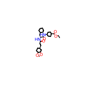 CCOC(=O)c1ccc(NC(=O)[C@H](Cc2ccccc2)NC(=O)/C=C/c2ccc3c(c2)OCO3)cc1